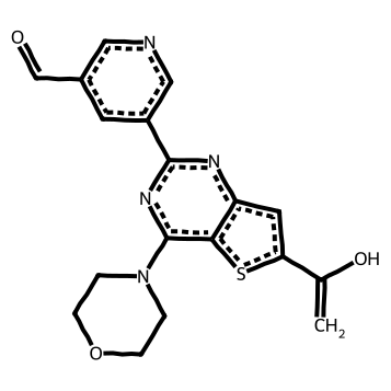 C=C(O)c1cc2nc(-c3cncc(C=O)c3)nc(N3CCOCC3)c2s1